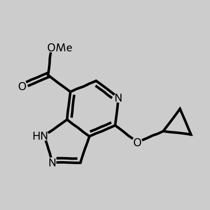 COC(=O)c1cnc(OC2CC2)c2cn[nH]c12